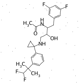 CC(=O)NC(Cc1cc(F)cc(F)c1)C(O)CNC1(c2cccc(C(C)(C)C(F)F)c2)CC1